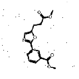 COC(=O)CCc1cnc(-c2cccc(C(=O)OC)c2)o1